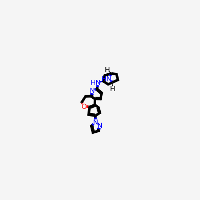 c1cnn(-c2ccc3c(c2)OCCc2nc(N[C@H]4C[C@H]5CC[C@@H](C4)N5)ccc2-3)c1